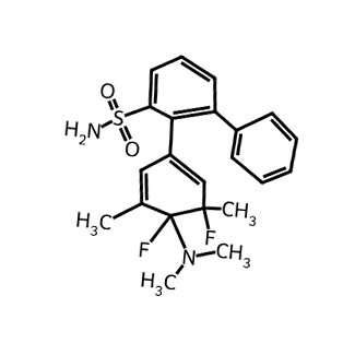 CC1=CC(c2c(-c3ccccc3)cccc2S(N)(=O)=O)=CC(C)(F)C1(F)N(C)C